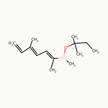 C=C/C(C)=C/C=C(\C)B(C)OC(C)(C)CC